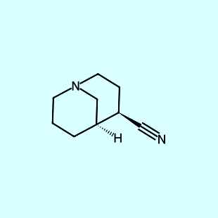 N#C[C@@H]1CCN2CCC[C@H]1C2